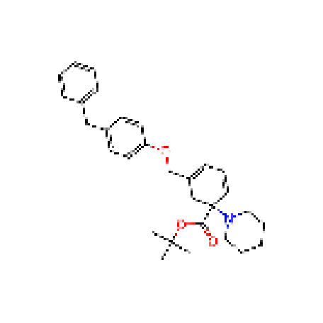 CC(C)(C)OC(=O)C1(N2CCCCC2)C=CC=C(COc2ccc(Cc3ccccc3)cc2)C1